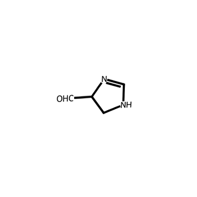 O=CC1CNC=N1